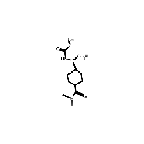 CN(C)C(=S)C1CCC(N(NC(=O)OC(C)(C)C)C(=O)O)CC1